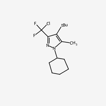 Cc1c(C(C)(C)C)c(C(F)(F)Cl)nn1C1CCCCC1